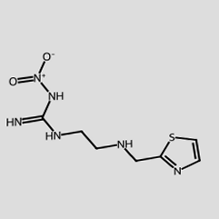 N=C(NCCNCc1nccs1)N[N+](=O)[O-]